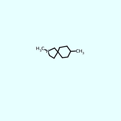 CC1CCC2(CC1)CCN(C)C2